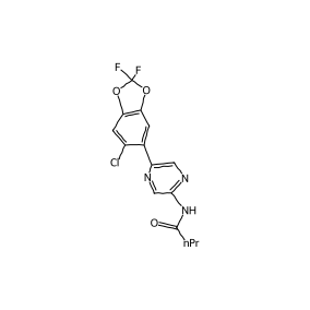 CCCC(=O)Nc1cnc(-c2cc3c(cc2Cl)OC(F)(F)O3)cn1